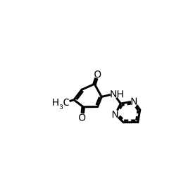 CC1=CC(=O)C(Nc2ncccn2)=CC1=O